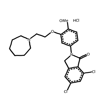 COc1ccc(N2Cc3cc(Cl)cc(Cl)c3C2=O)cc1OCCN1CCCCCC1.Cl